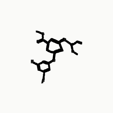 CCC(OC)Oc1cc(Oc2cc(F)cc(F)c2)cc(C(=O)OC)c1